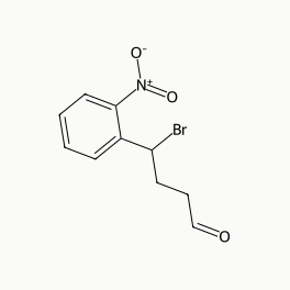 O=CCCC(Br)c1ccccc1[N+](=O)[O-]